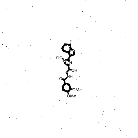 CCCn1nc(C(O)CNC(=O)c2ccc(OC)c(OC)c2)nc1-c1csc2c(F)cccc12